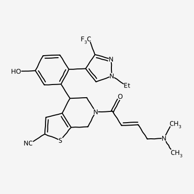 CCn1cc(-c2ccc(O)cc2C2CN(C(=O)/C=C/CN(C)C)Cc3sc(C#N)cc32)c(C(F)(F)F)n1